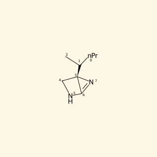 CCCC(C)[C@]12CNC1=N2